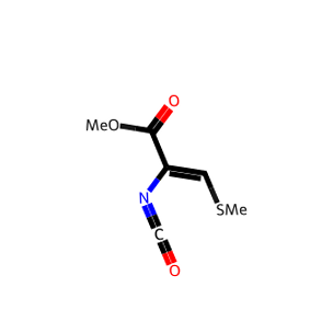 COC(=O)C(=CSC)N=C=O